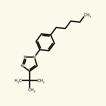 CCCCCc1ccc(-n2cc(C(C)(C)C)nn2)cc1